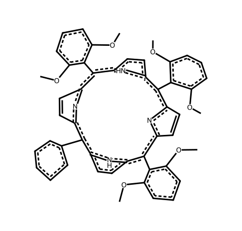 COc1cccc(OC)c1-c1c2nc(c(-c3c(OC)cccc3OC)c3ccc([nH]3)c(-c3c(OC)cccc3OC)c3nc(c(-c4ccccc4)c4ccc1[nH]4)C=C3)C=C2